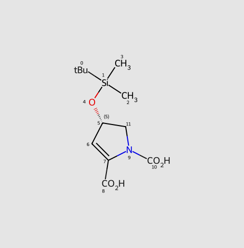 CC(C)(C)[Si](C)(C)O[C@H]1C=C(C(=O)O)N(C(=O)O)C1